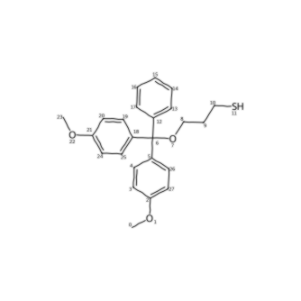 COc1ccc(C(OCCCS)(c2ccccc2)c2ccc(OC)cc2)cc1